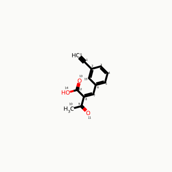 C#Cc1cccc(C=C(C(C)=O)C(=O)O)c1